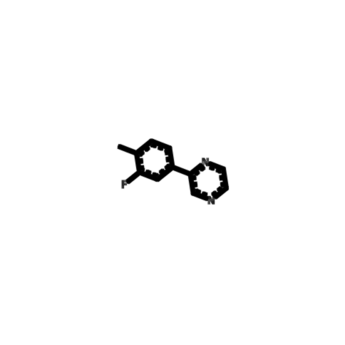 Cc1ccc(-c2cnccn2)cc1F